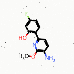 COc1nc(-c2ccc(F)cc2O)ccc1N